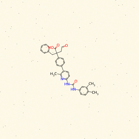 Cc1ccc(NC(=O)Nc2ccc(-c3ccc(C(CC=O)(Cc4ccccc4)C(=O)O)cc3)c(C)n2)cc1C